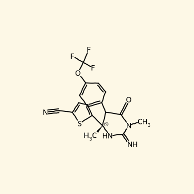 CN1C(=N)N[C@](C)(c2ccc(C#N)s2)C(c2ccc(OC(F)(F)F)cc2)C1=O